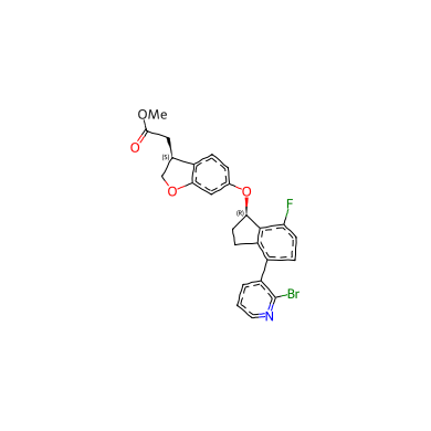 COC(=O)C[C@@H]1COc2cc(O[C@@H]3CCc4c(-c5cccnc5Br)ccc(F)c43)ccc21